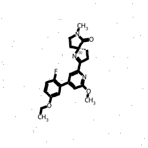 CCOc1ccc(F)c(-c2cc(OC)nc(C3=N[C@@]4(CC3)CCN(C)C4=O)c2)c1